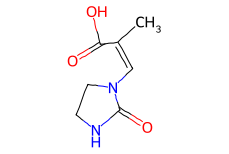 CC(=CN1CCNC1=O)C(=O)O